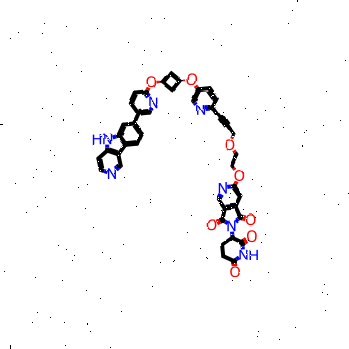 O=C1CCC(N2C(=O)c3cnc(OCCOCC#Cc4ccc(O[C@H]5C[C@H](Oc6ccc(-c7ccc8c(c7)[nH]c7ccncc78)cn6)C5)cn4)cc3C2=O)C(=O)N1